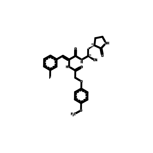 N#C[C@H](C[C@@H]1CCNC1=O)NC(=O)C(=Cc1cccc(F)c1)NC(=O)COc1ccc(OC(F)(F)F)cc1